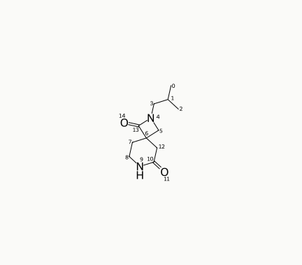 CC(C)CN1CC2(CCNC(=O)C2)C1=O